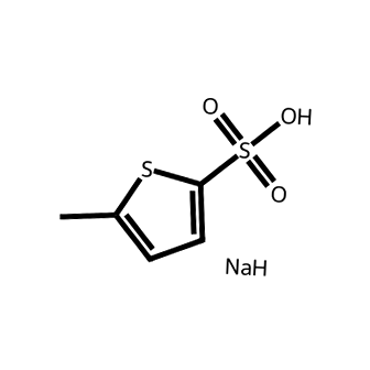 Cc1ccc(S(=O)(=O)O)s1.[NaH]